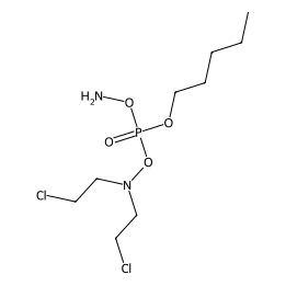 CCCCCOP(=O)(ON)ON(CCCl)CCCl